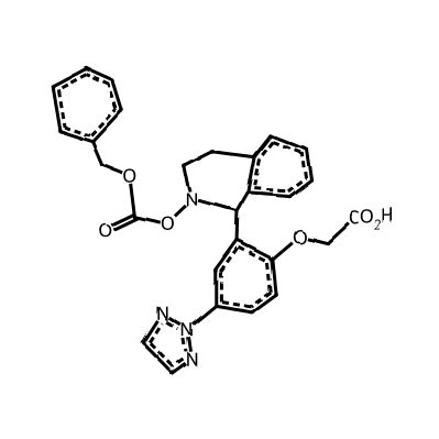 O=C(O)COc1ccc(-n2nccn2)cc1C1c2ccccc2CCN1OC(=O)OCc1ccccc1